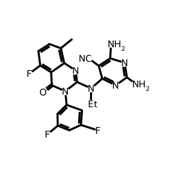 CCN(c1nc(N)nc(N)c1C#N)c1nc2c(C)ccc(F)c2c(=O)n1-c1cc(F)cc(F)c1